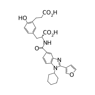 O=C(O)CCc1cc(C[C@H](NC(=O)c2ccc3c(c2)nc(-c2ccoc2)n3C2CCCCC2)C(=O)O)ccc1O